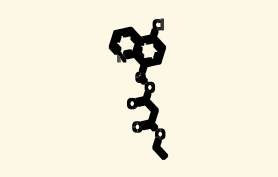 CCOC(=O)CC(=O)OOc1ccc(Cl)c2cccnc12